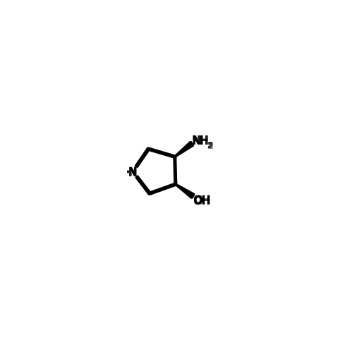 N[C@@H]1C[N]C[C@@H]1O